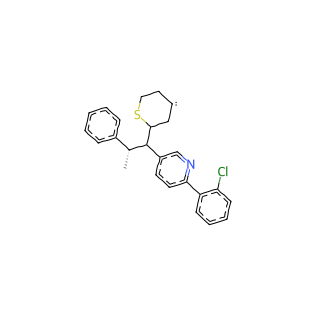 C[C@H](c1ccccc1)C(c1ccc(-c2ccccc2Cl)nc1)C1C[C]CCS1